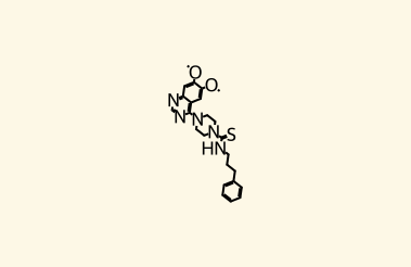 COc1cc2ncnc(N3CCN(C(=S)NCCCc4ccccc4)CC3)c2cc1OC